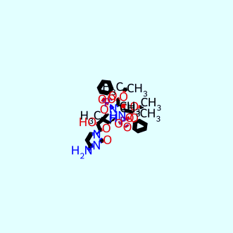 CC(C)OC(=O)[C@H](C)NP(=O)(OC[C@H]1O[C@@H](n2ccc(N)nc2=O)C(O)C1(C)COP(=O)(N[C@@H](C)C(=O)OC(C)C)Oc1ccccc1)Oc1ccccc1